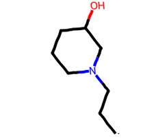 [CH2]CCN1CCCC(O)C1